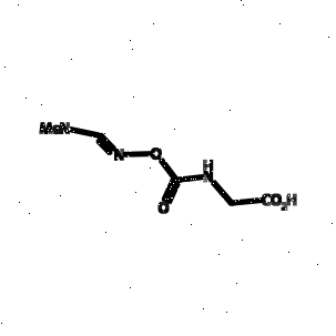 CNC=NOC(=O)NCC(=O)O